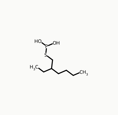 CCCCC(CC)CSP(O)O